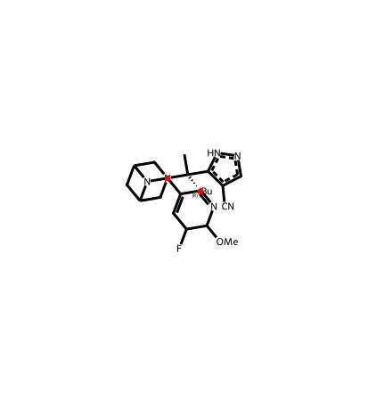 CC[C@@H](C)C(C)(c1[nH]ncc1C#N)N1CC2CC(C1)N2CC1=CC(F)C(OC)N=C1